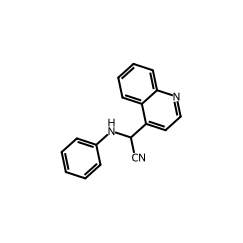 N#CC(Nc1ccccc1)c1ccnc2ccccc12